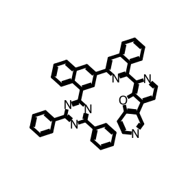 c1ccc(-c2nc(-c3ccccc3)nc(-c3cc(-c4cc5ccccc5c(-c5nccc6c5oc5ccncc56)n4)cc4ccccc34)n2)cc1